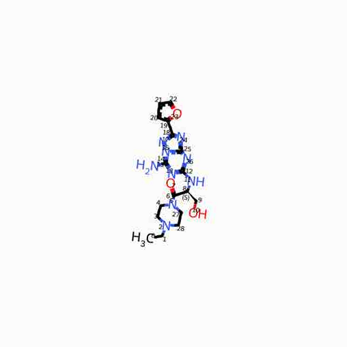 CCN1CCN(C(=O)[C@H](CO)Nc2nc(N)n3nc(-c4ccco4)nc3n2)CC1